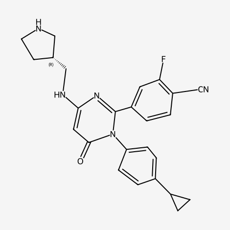 N#Cc1ccc(-c2nc(NC[C@@H]3CCNC3)cc(=O)n2-c2ccc(C3CC3)cc2)cc1F